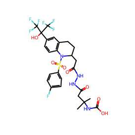 CC(C)(CC(=O)NNC(=O)CC1CCc2cc(C(O)(C(F)(F)F)C(F)(F)F)ccc2N1S(=O)(=O)c1ccc(F)cc1)NC(=O)O